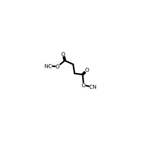 N#COC(=O)CCC(=O)OC#N